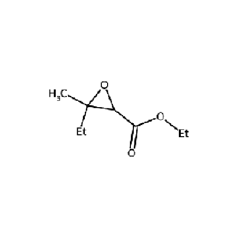 CCOC(=O)C1OC1(C)CC